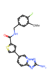 COc1cc(CNC(=O)c2cc(-c3ccc4nc(N)nn4c3)cs2)ccc1F